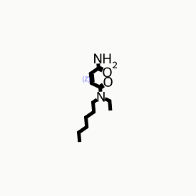 CCCCCCN(CC)C(=O)/C=C\C(N)=O